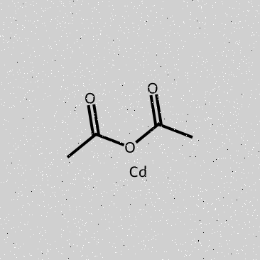 CC(=O)OC(C)=O.[Cd]